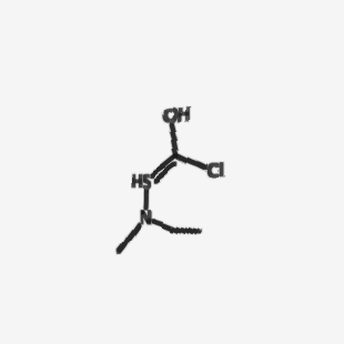 CN(C)[SH]=C(O)Cl